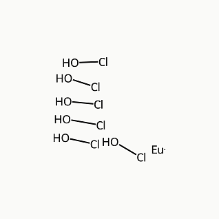 OCl.OCl.OCl.OCl.OCl.OCl.[Eu]